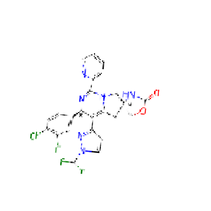 O=C1N[C@@]2(CO1)CC1=C(c3ccn(C(F)F)n3)[C@@H](c3ccc(Cl)c(F)c3)N=C(c3ccccn3)N1C2